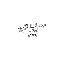 C[C@H](O)[C@H](NC(=O)N[C@@H](CCC(N)=O)c1nnc(C2(N)CC2)o1)C(=O)O